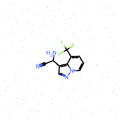 N#CC(N)c1cnn2cccc(C(F)(F)F)c12